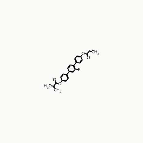 C=CC(=O)Oc1ccc(-c2ccc(-c3ccc(OC(=O)C(=C)C)cc3)cc2F)cc1